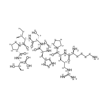 CC[C@H](C)[C@H](NC(=O)[C@H](CO)NC(=O)[C@H](Cc1c[nH]cn1)NC(=O)[C@@H]1CCCN1C(=O)[C@H](CCCNC(=N)N)NC(=O)[C@@H](N)CCCCN)C(=O)N1CCC[C@H]1C(=O)N[C@H](C(=O)O)[C@@H](C)O